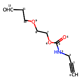 C#CCNC(=O)OCCOCCC=O